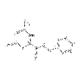 CC(=O)NN(C[C]=O)C(=O)C=Cc1ccccc1